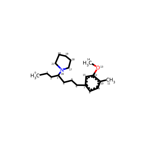 CCCC(CCCc1ccc(C)c(OC)c1)N1CCCCC1